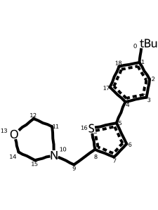 CC(C)(C)c1ccc(-c2ccc(CN3CCOCC3)s2)cc1